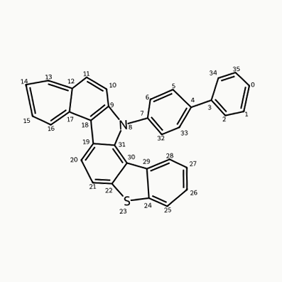 c1ccc(-c2ccc(-n3c4ccc5ccccc5c4c4ccc5sc6ccccc6c5c43)cc2)cc1